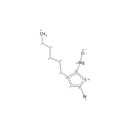 CCCCCCc1cc(Br)s[c]1[Mg][Cl]